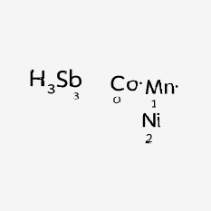 [Co].[Mn].[Ni].[SbH3]